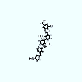 Cc1c(Nc2nccc(CN3CC[C@@H](O)C3)c2F)cccc1-c1cccc(-c2nc3cc(C=O)cc(Cl)c3o2)c1C